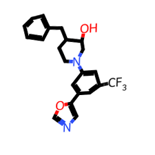 OC1CN(c2cc(-c3cnco3)cc(C(F)(F)F)c2)CCC1Cc1ccccc1